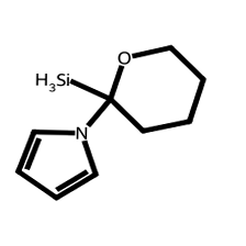 [SiH3]C1(n2cccc2)CCCCO1